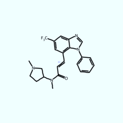 CN1CCC(N(C)C(=O)/C=C/c2cc(C(F)(F)F)cc3ncn(-c4ccccc4)c23)C1